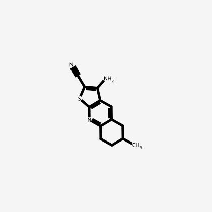 CC1CCc2nc3sc(C#N)c(N)c3cc2C1